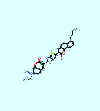 CCCCc1cccc2c1ccc1cc(-c3cc4c(s3)CC(c3cc5ccc(N(CC)CC)cc5oc3=O)S4)c(=O)oc12